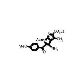 CCOC(=O)c1sc2c(c1C)c(N)c(C(=O)c1ccc(OC)cc1)n2C(C)=O